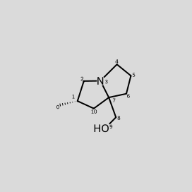 C[C@@H]1CN2CCCC2(CO)C1